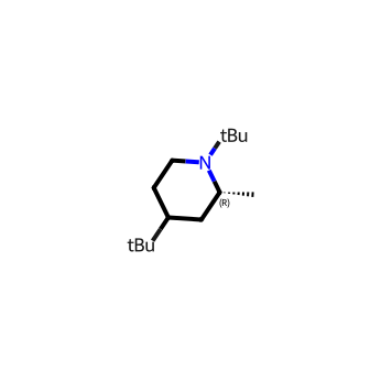 C[C@@H]1CC(C(C)(C)C)CCN1C(C)(C)C